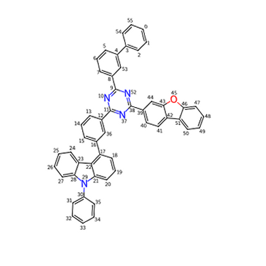 c1ccc(-c2cccc(-c3nc(-c4cccc(-c5cccc6c5c5ccccc5n6-c5ccccc5)c4)nc(-c4ccc5c(c4)oc4ccccc45)n3)c2)cc1